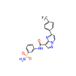 NS(=O)(=O)c1cccc(NC(=O)c2cnn3ccc(-c4ccc(C(F)(F)F)cc4)nc23)c1